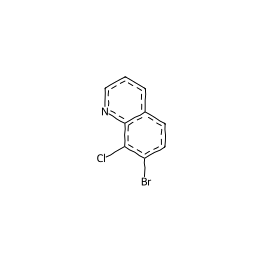 Clc1c(Br)ccc2cccnc12